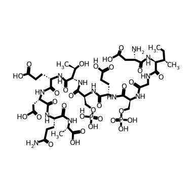 CC[C@H](C)[C@H](NC(=O)[C@@H](N)CC(=O)O)C(=O)NCC(=O)N[C@@H](COP(=O)(O)O)C(=O)N[C@@H](CCC(=O)O)C(=O)N[C@@H](COP(=O)(O)O)C(=O)N[C@H](C(=O)N[C@@H](CCC(=O)O)C(=O)N[C@@H](CC(=O)O)C(=O)N[C@@H](CCC(N)=O)C(=O)N[C@@H](C)C(=O)O)[C@@H](C)O